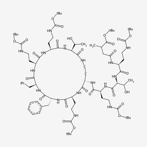 CCCCOC(=O)C(C)CC(=O)N[C@@H](CCNC(=O)OC(C)(C)C)C(=O)N[C@H](C(=O)N[C@@H](CCNC(=O)OC(C)(C)C)C(=O)N[C@H]1CCNC(=O)[C@H](C(C)O)NC(=O)[C@H](CCNC(=O)OC(C)(C)C)NC(=O)[C@H](CCNC(=O)OC(C)(C)C)NC(=O)[C@H](CC(C)C)NC(=O)[C@@H](Cc2ccccc2)NC(=O)[C@H](CCNC(=O)OC(C)(C)C)NC1=O)C(C)O